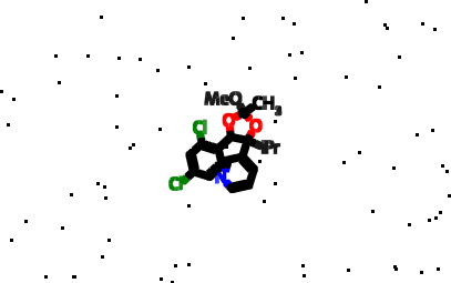 COC1(C)OC(c2ccc(Cl)cc2Cl)C(c2cccnc2)(C(C)C)O1